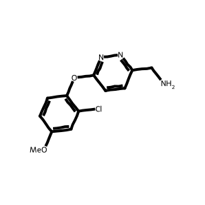 COc1ccc(Oc2ccc(CN)nn2)c(Cl)c1